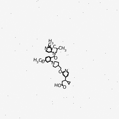 COc1ccc(C(=O)N(CC(C)C)c2ccnc(C)c2)c(N2CCC(COc3cc(C(CC(=O)O)C4CC4)ccn3)CC2)c1